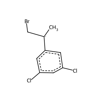 C[C](CBr)c1cc(Cl)cc(Cl)c1